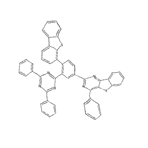 c1ccc(-c2nc(-c3ccccc3)nc(-c3cc(-c4nc(-c5ccccc5)c5sc6ccccc6c5n4)ccc3-c3cccc4c3sc3ccccc34)n2)cc1